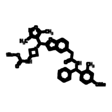 COc1ccc(C(NC(=O)Cc2ccc3oc(C(c4c(C)noc4C)N4CC(NC(=O)OC(C)(C)C)C4)cc3c2)c2ccccc2)c(C)c1